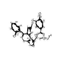 CCc1cc2c(s1)-n1c(nnc1[C@@H](CC(=O)O)NC(=O)c1ccc(Cl)c(Cl)c1)CN=C2c1ccccc1Cl